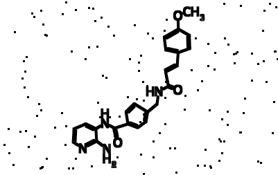 COc1ccc(/C=C/C(=O)NCc2ccc(C(=O)Nc3cccnc3N)cc2)cc1